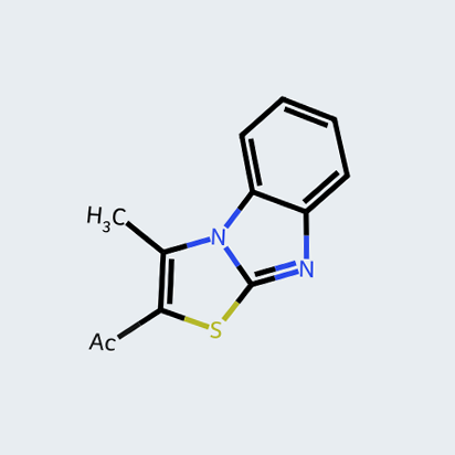 CC(=O)c1sc2nc3ccccc3n2c1C